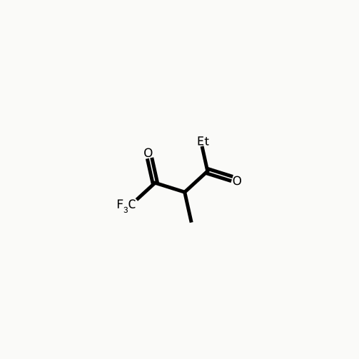 CCC(=O)C(C)C(=O)C(F)(F)F